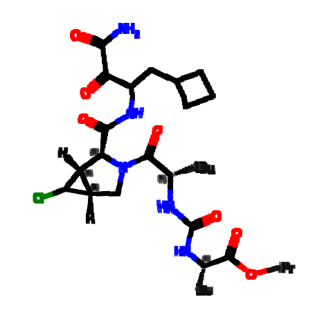 CC(C)OC(=O)[C@@H](NC(=O)N[C@H](C(=O)N1C[C@@H]2C(Cl)[C@@H]2[C@H]1C(=O)NC(CC1CCC1)C(=O)C(N)=O)C(C)(C)C)C(C)(C)C